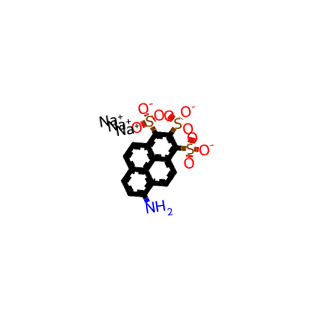 Nc1ccc2ccc3c(S(=O)(=O)[O-])c(S(=O)(=O)[O-])c(S(=O)(=O)[O-])c4ccc1c2c34.[Na+].[Na+].[Na+]